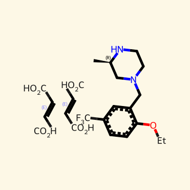 CCOc1ccc(C(F)(F)F)cc1CN1CCN[C@H](C)C1.O=C(O)/C=C/C(=O)O.O=C(O)/C=C/C(=O)O